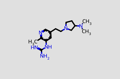 Cc1ncc(CCN2CCC(N(C)C)C2)cc1NC(=N)N